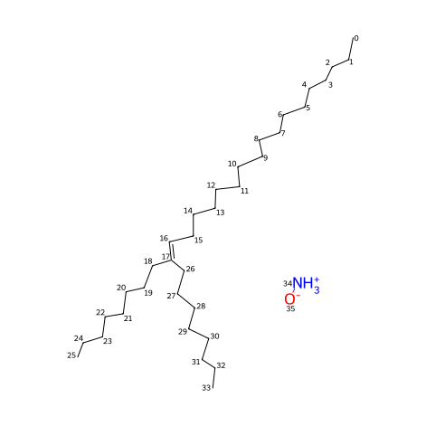 CCCCCCCCCCCCCCCCC=C(CCCCCCCC)CCCCCCCC.[NH3+][O-]